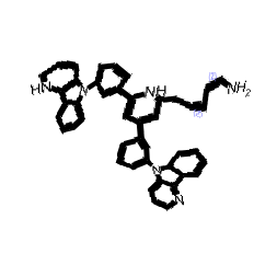 N/C=C\C=C/CC1C=C(c2cccc(N3c4cccnc4C4C=CC=CC43)c2)C=C(c2cccc(-n3c4c(c5ccccc53)NCC=C4)c2)N1